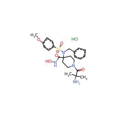 COc1ccc(S(=O)(=O)N(Cc2ccccc2)C2(C(=O)NO)CCN(C(=O)C(C)(C)N)CC2)cc1.Cl